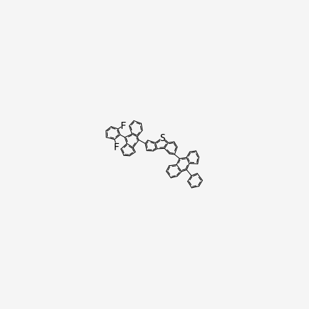 Fc1cccc(F)c1-c1c2ccccc2c(-c2ccc3c(c2)sc2ccc(-c4c5ccccc5c(-c5ccccc5)c5ccccc45)cc23)c2ccccc12